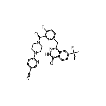 CC(F)(F)c1ccc2c(=O)[nH]nc(Cc3ccc(F)c(C(=O)N4CCN(c5ccc(C#N)cn5)CC4)c3)c2c1